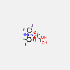 COc1cc(F)c(F)c(Nc2ccc(I)cc2F)c1NS(=O)(=O)C1(C[C@@H](O)CO)CC1